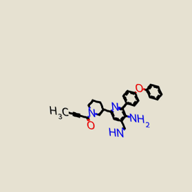 CC#CC(=O)N1CCCC(c2cc(C=N)c(N)c(-c3ccc(Oc4ccccc4)cc3)n2)C1